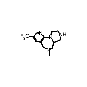 FC(F)(F)c1cnc2c(c1)CNCC1CNCCN21